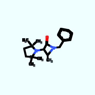 CC1C(N2[Si](C)(C)CC[Si]2(C)C)C(=O)N1Cc1ccccc1